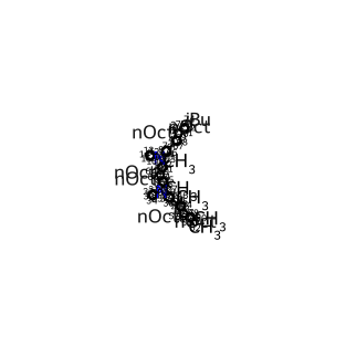 CCCCCCCCC1(CCCCCCCC)c2cc(-c3ccc(N(c4ccccc4)c4cc5c(cc4C)-c4cc(C)c(N(c6ccccc6)c6ccc(-c7cc8c(cc7C)-c7cc(C)c(C)cc7C8(CCCCCCCC)CCCCCCCC)cc6)cc4C5(CCCCCCCC)CCCCCCCC)cc3)ccc2-c2ccc(C(C)CC)cc21